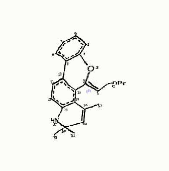 CCC/C=C1\Oc2ccccc2-c2ccc3c(c21)C(C)=CC(C)(C)N3